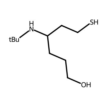 CC(C)(C)NC(CCS)CCCO